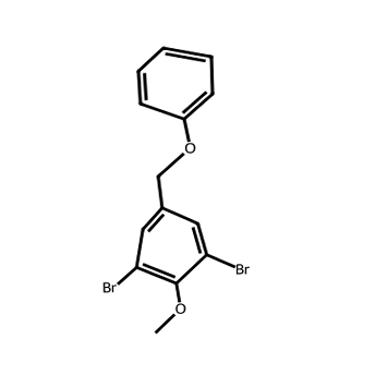 COc1c(Br)cc(COc2ccccc2)cc1Br